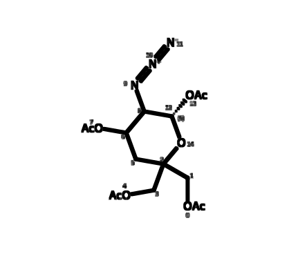 CC(=O)OCC1(COC(C)=O)CC(OC(C)=O)C(N=[N+]=[N-])[C@H](OC(C)=O)O1